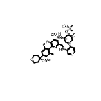 COC1(c2cc(F)c(-c3nc(CNc4cnccc4N4C[C@H](C)[C@@H](O[Si](C)(C)C(C)(C)C)[C@H](NC(=O)O)C4)ccc3F)c(F)c2)CCOCC1